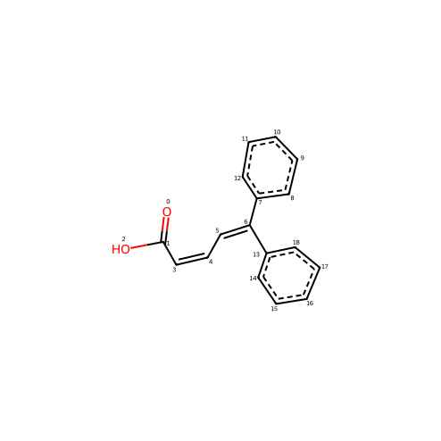 O=C(O)/C=C\C=C(c1ccccc1)c1ccccc1